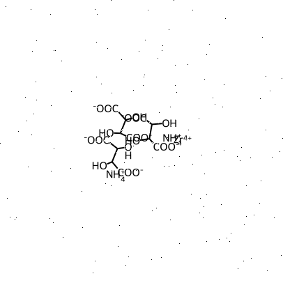 O=C([O-])C(O)C(O)C(=O)[O-].O=C([O-])C(O)C(O)C(=O)[O-].O=C([O-])C(O)C(O)C(=O)[O-].[NH4+].[NH4+].[Zr+4]